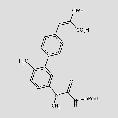 CCCCCNC(=O)N(C)c1ccc(C)c(-c2ccc(C=C(OC)C(=O)O)cc2)c1